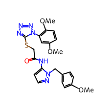 COc1ccc(Cn2nccc2NC(=O)CSc2nnnn2-c2cc(OC)ccc2OC)cc1